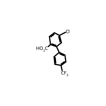 O=C(O)c1ccc(Cl)cc1-c1ccc(C(F)(F)F)cc1